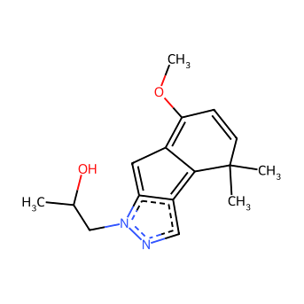 COC1=C2C=c3c(cnn3CC(C)O)=C2C(C)(C)C=C1